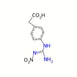 NC(=N[N+](=O)[O-])Nc1ccc(CC(=O)O)cc1